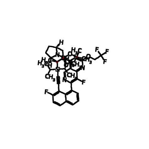 CC(C)[Si](C#Cc1c(F)ccc2cccc(-c3ncc4c(N5C[C@H]6CC[C@@H](C5)N6C(=O)OC(C)(C)C)nc(OCC(F)(F)F)nc4c3F)c12)(C(C)C)C(C)C